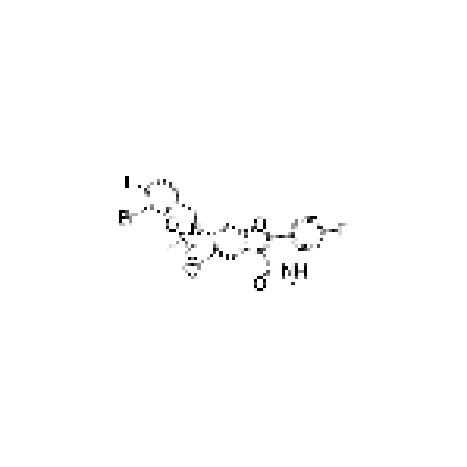 CNC(=O)c1c(-c2ccc(F)cc2)oc2cc(N(Cc3ccc(F)c(Br)c3)S(C)(=O)=O)c(C3CC3)cc12